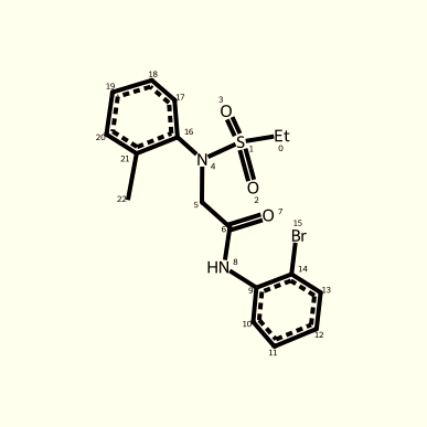 CCS(=O)(=O)N(CC(=O)Nc1ccccc1Br)c1ccccc1C